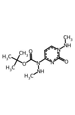 CNN(C(=O)OC(C)(C)C)c1ccn(NC)c(=O)n1